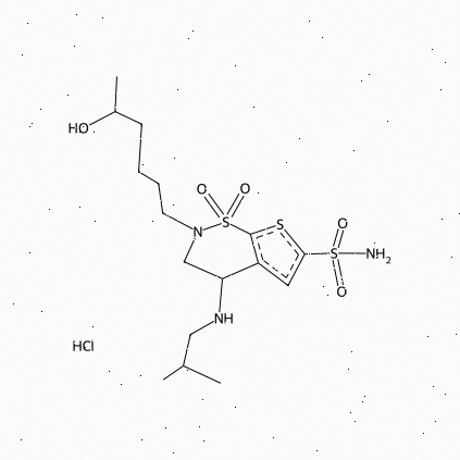 CC(C)CNC1CN(CCCCC(C)O)S(=O)(=O)c2sc(S(N)(=O)=O)cc21.Cl